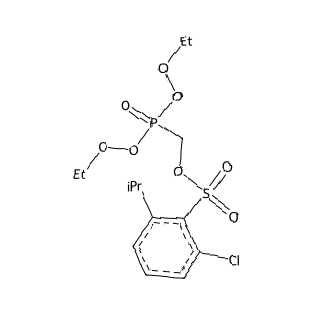 CCOOP(=O)(COS(=O)(=O)c1c(Cl)cccc1C(C)C)OOCC